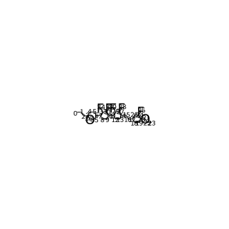 CCCC1CCC(c2ccc(-c3ccc(CCc4ccc(OCC)c(F)c4)c(F)c3F)c(F)c2F)CO1